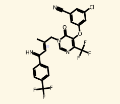 C/C(=C\C(=N)c1ccc(C(F)(F)F)cc1)Cn1cnc(C(F)(F)F)c(Oc2cc(Cl)cc(C#N)c2)c1=O